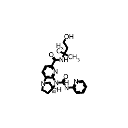 CC(C)(CCO)NC(=O)c1ccc2c(n1)N(C(=O)Nc1ccccn1)[C@H]1CCN2C1